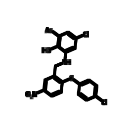 CC(=O)c1cc(Cl)cc(NCc2cc([N+](=O)[O-])ccc2Sc2ccc(Cl)cc2)c1O